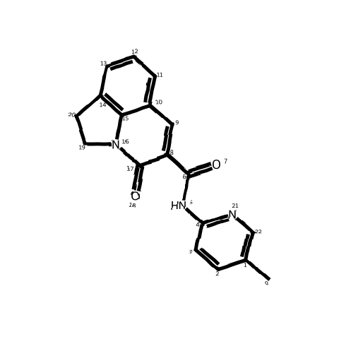 Cc1ccc(NC(=O)c2cc3cccc4c3n(c2=O)CC4)nc1